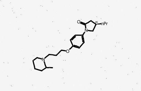 CCC[C@@H]1CC(=O)N(c2ccc(OCCCN3CCCCC3C)cc2)C1